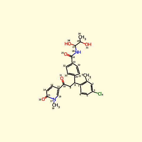 Cc1cc(Cl)ccc1C(CC(=O)c1ccc(=O)n(C)c1)c1ccc(C(=O)NC(O)C(C)O)cc1